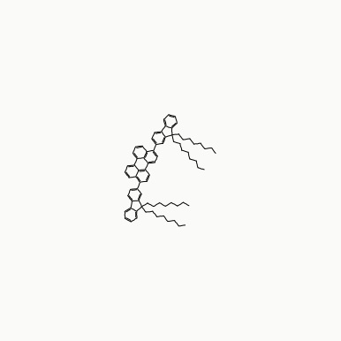 CCCCCCCCC1(CCCCCCCC)c2ccccc2-c2ccc(-c3ccc4c5ccc(-c6ccc7c(c6)C(CCCCCCCC)(CCCCCCCC)c6ccccc6-7)c6cccc(c7cccc3c74)c65)cc21